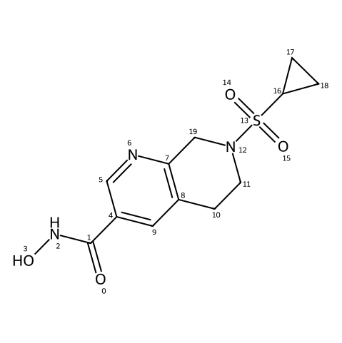 O=C(NO)c1cnc2c(c1)CCN(S(=O)(=O)C1CC1)C2